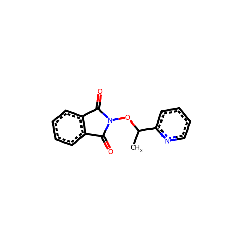 CC(ON1C(=O)c2ccccc2C1=O)c1ccccn1